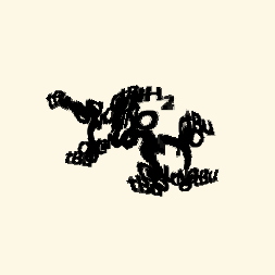 CC(C)(C)OC(=O)N1CCCN(C(=O)OC(C)(C)C)CCN(C(=O)OC(C)(C)C)CCCN(Cc2ccc(CN3CCCN(C(=O)OC(C)(C)C)CCN(C(=O)OC(C)(C)C)CCCN(C(=O)OC(C)(C)C)CC3)c(C(=O)NCCN)c2)CC1